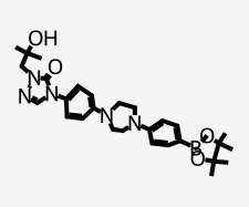 CC(C)(O)Cn1ncn(-c2ccc(N3CCN(c4ccc(B5OC(C)(C)C(C)(C)O5)cc4)CC3)cc2)c1=O